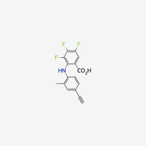 C#Cc1ccc(Nc2c(C(=O)O)cc(F)c(F)c2F)c(C)c1